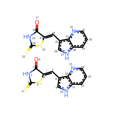 O=C1NC(=S)S/C1=C\c1c[nH]c2cccnc12.O=C1NC(=S)S/C1=C\c1c[nH]c2cccnc12